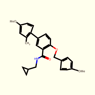 COc1ccc(COc2ccc(-c3ccc(OC)cc3C)cc2C(=O)NCC2CC2)cc1